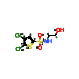 O=S(=O)(NCCO)c1cc(Cl)c(Cl)s1